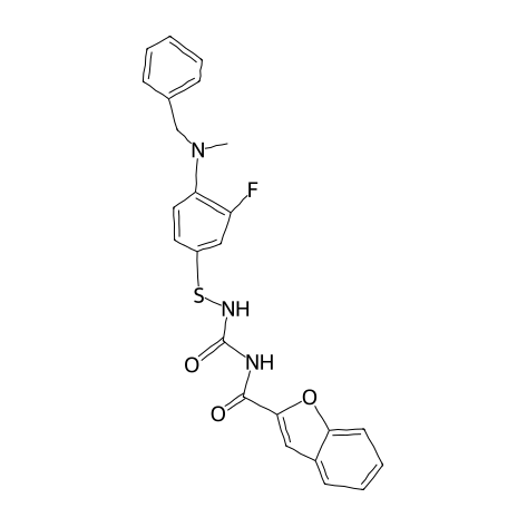 CN(Cc1ccccc1)c1ccc(SNC(=O)NC(=O)c2cc3ccccc3o2)cc1F